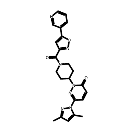 Cc1cc(C)n(-c2ccc(=O)n(C3CCN(C(=O)c4cc(-c5cccnc5)on4)CC3)n2)n1